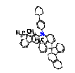 CC1(C)C2=CC(N(C3CC=C(C4CCCCC4)CC3)C3CC=CC4C3C3(C)CCCC=C3C43C4CCC=CC4C4C5=C(CCCC5)CCC43)=CCC2C2C=CC=CC21